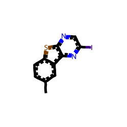 Cc1ccc2sc3ncc(I)nc3c2c1